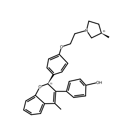 CC1=C(c2ccc(O)cc2)[C@H](c2ccc(OCCN3CC[C@@H](C)C3)cc2)Oc2ccccc21